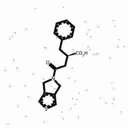 O=C(O)[C@@H](CC(=O)N1Cc2cscc2C1)Cc1ccccc1